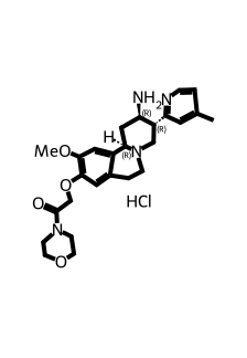 COc1cc2c(cc1OCC(=O)N1CCOCC1)CCN1C[C@@H](c3cc(C)ccn3)[C@H](N)C[C@H]21.Cl